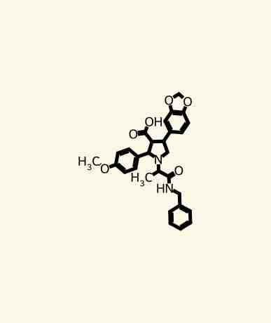 COc1ccc(C2C(C(=O)O)C(c3ccc4c(c3)OCO4)CN2C(C)C(=O)NCc2ccccc2)cc1